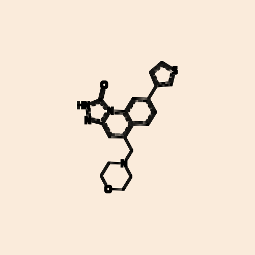 O=c1[nH]nc2cc(CN3CCOCC3)c3ccc(-c4ccsc4)cc3n12